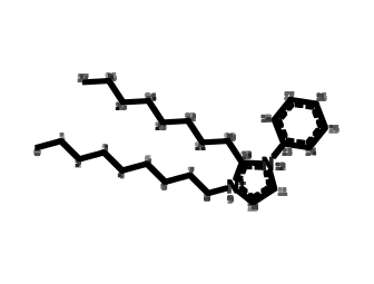 CCCCCCCCC[n+]1ccn(-c2ccccc2)c1CCCCCCCC